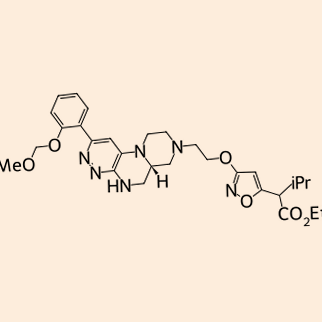 CCOC(=O)C(c1cc(OCCN2CCN3c4cc(-c5ccccc5OCOC)nnc4NC[C@H]3C2)no1)C(C)C